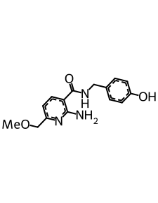 COCc1ccc(C(=O)NCc2ccc(O)cc2)c(N)n1